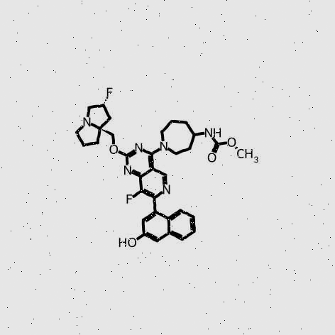 COC(=O)NC1CCCN(c2nc(OC[C@@]34CCCN3C[C@H](F)C4)nc3c(F)c(-c4cc(O)cc5ccccc45)ncc23)CC1